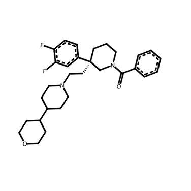 O=C(c1ccccc1)N1CCC[C@](CCN2CCC(C3CCOCC3)CC2)(c2ccc(F)c(F)c2)C1